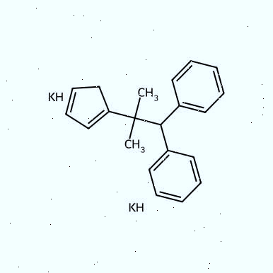 CC(C)(C1=CC=CC1)C(c1ccccc1)c1ccccc1.[KH].[KH]